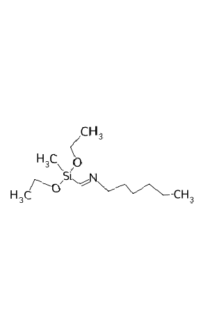 CCCCCCN=C[Si](C)(OCC)OCC